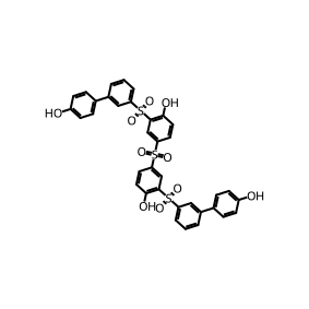 O=S(=O)(c1ccc(O)c(S(=O)(=O)c2cccc(-c3ccc(O)cc3)c2)c1)c1ccc(O)c(S(=O)(=O)c2cccc(-c3ccc(O)cc3)c2)c1